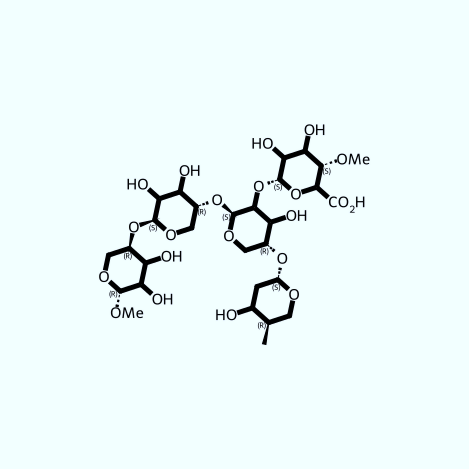 CO[C@@H]1OC[C@@H](O[C@@H]2OC[C@@H](O[C@@H]3OC[C@@H](O[C@H]4CC(O)[C@H](C)CO4)C(O)C3O[C@H]3OC(C(=O)O)[C@@H](OC)C(O)C3O)C(O)C2O)C(O)C1O